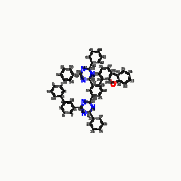 c1ccc(-c2cccc(-c3nc(-c4ccccc4)nc(-c4ccc(-c5cccc6c5oc5ccccc56)c(-c5nc(-c6ccccc6)nc(-c6ccccc6)n5)c4)n3)c2)cc1